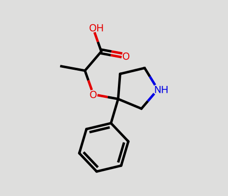 CC(OC1(c2ccccc2)CCNC1)C(=O)O